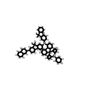 CC1(C)c2ccccc2-c2ccc(N(c3ccc4c(c3)C(C)(C)c3cc(-c5ccc6ccccc6c5)ccc3-4)c3cccc4c3-c3ccccc3C43c4ccccc4N(c4ccccc4)c4ccccc43)cc21